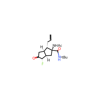 C=CC[C@H]1[C@@H]2CC(=O)[C@@H](F)[C@@H]2C[C@@]1(NC(C)=O)C(=O)NC(C)(C)C